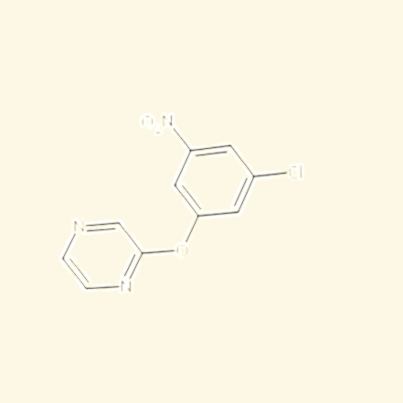 O=[N+]([O-])c1cc(Cl)cc(Oc2cnccn2)c1